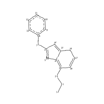 CCCC1=C2N=C(Cc3ccccc3)C=C2CC=C1